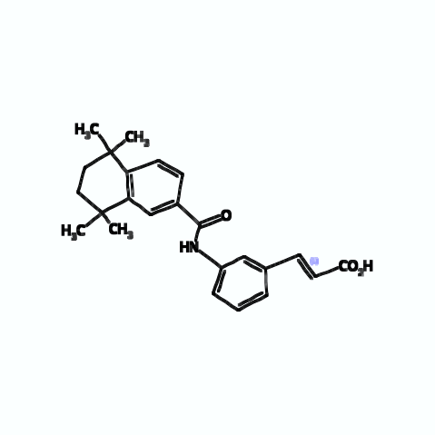 CC1(C)CCC(C)(C)c2cc(C(=O)Nc3cccc(/C=C/C(=O)O)c3)ccc21